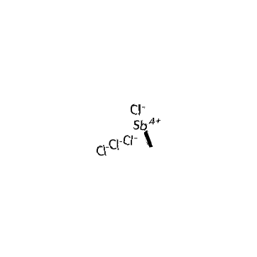 [CH3][Sb+4].[Cl-].[Cl-].[Cl-].[Cl-]